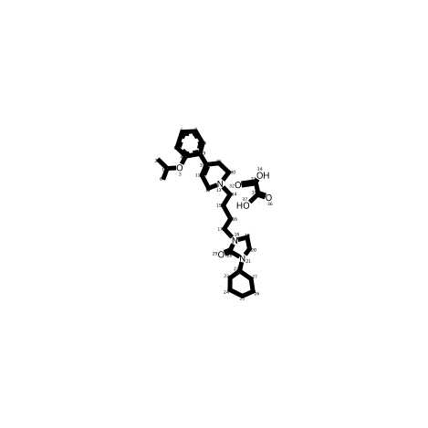 CC(C)Oc1ccccc1C1=CCN(CCCCN2CCN(C3CCCCC3)C2=O)CC1.O=C(O)C(=O)O